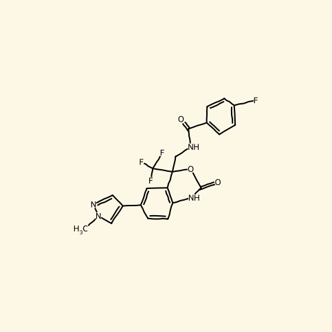 Cn1cc(-c2ccc3c(c2)C(CNC(=O)c2ccc(F)cc2)(C(F)(F)F)OC(=O)N3)cn1